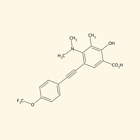 Cc1c(O)c(C(=O)O)cc(C#Cc2ccc(OC(F)(F)F)cc2)c1N(C)C